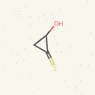 OC1CC1=S